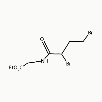 CCOC(=O)CNC(=O)C(Br)CCBr